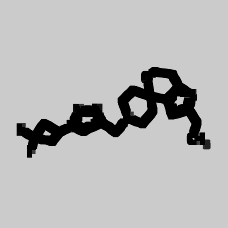 CCc1cc2c(s1)CCOC21CCN(Cc2cn(C3CC(F)(F)C3)nn2)CC1